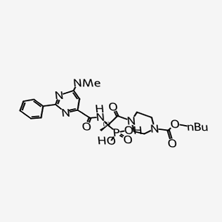 CCCCOC(=O)N1CCN(C(=O)[C@@](C)(NC(=O)c2cc(NC)nc(-c3ccccc3)n2)P(=O)(O)O)CC1